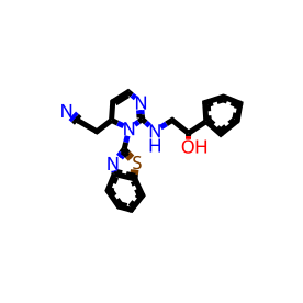 N#CCC1C=CN=C(NCC(O)c2ccccc2)N1c1nc2ccccc2s1